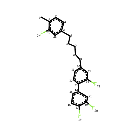 Cc1ccc(CCCCCc2ccc(-c3ccc(F)c(F)c3)c(F)c2)cc1F